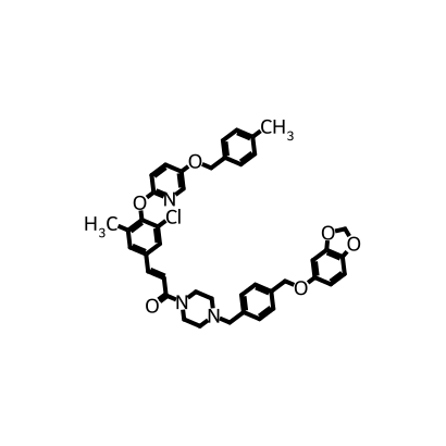 Cc1ccc(COc2ccc(Oc3c(C)cc(/C=C/C(=O)N4CCN(Cc5ccc(COc6ccc7c(c6)OCO7)cc5)CC4)cc3Cl)nc2)cc1